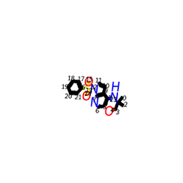 CC1(C)COc2cnc3c(ccn3S(=O)(=O)c3ccccc3)c2N1